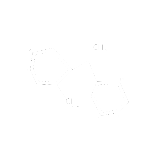 [CH2]c1ccccc1[C@H](C)c1ccccc1